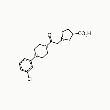 O=C(O)C1CCN(CC(=O)N2CCN(c3cccc(Cl)c3)CC2)C1